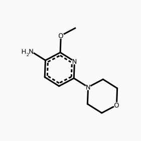 COc1nc(N2CCOCC2)ccc1N